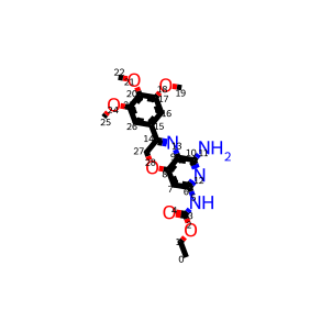 CCOC(=O)Nc1cc2c(c(N)n1)N=C(c1cc(OC)c(OC)c(OC)c1)CO2